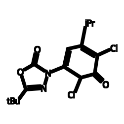 CC(C)C1=C(Cl)C(=O)C(Cl)C(n2nc(C(C)(C)C)oc2=O)=C1